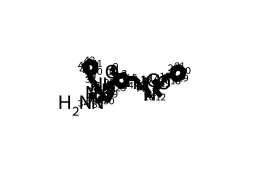 COc1cc(CN2CC(N(C)C(C)C(=O)OCc3ccccc3)C2)ccc1Cn1ccc2nc(N)nc(NCc3ccccc3)c21